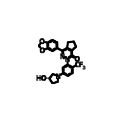 O=c1c2c(c(-c3ccc4c(c3)OCO4)nn1-c1cc(N3CC[C@H](O)C3)ccc1C(F)(F)F)CCC2